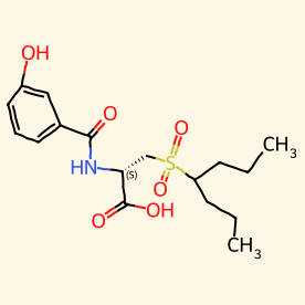 CCCC(CCC)S(=O)(=O)C[C@@H](NC(=O)c1cccc(O)c1)C(=O)O